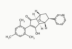 Cc1cc(C)c(C2=C(O)[C@@H]3[C@@H]4O[C@@H](C[C@H]4c4cccnc4)[C@@H]3C2=O)c(C)c1